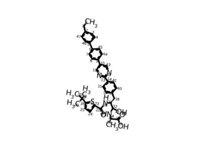 CCc1ccc(-c2ccc(-c3cnc(-c4ccc(C[C@H](NC(=O)c5ccc(C(C)(C)C)s5)C(O)N[C@H](C)C(=O)O)cc4)nc3)cc2)cc1